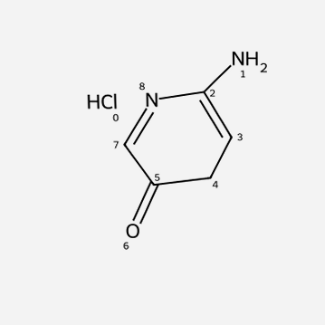 Cl.NC1=CCC(=O)C=N1